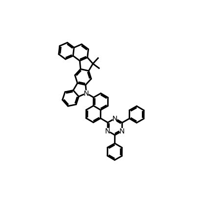 CC1(C)c2cc3c(cc2-c2c1ccc1ccccc21)c1ccccc1n3-c1cccc2c(-c3nc(-c4ccccc4)nc(-c4ccccc4)n3)cccc12